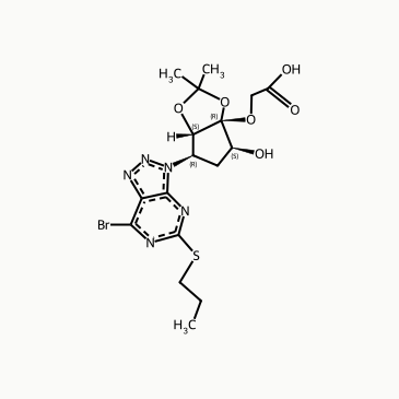 CCCSc1nc(Br)c2nnn([C@@H]3C[C@H](O)[C@@]4(OCC(=O)O)OC(C)(C)O[C@@H]34)c2n1